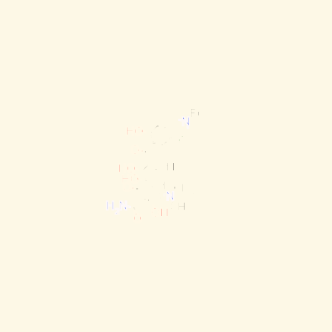 CCN(Cc1cc(O)c2c(c1Cl)C[C@H]1C[C@H]3[C@H](N(C)C)C(O)=C(C(N)=O)C(=O)[C@@]3(O)C(O)=C1C2=O)CC1CCCCCC1